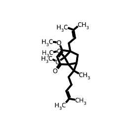 COC1=CC(=O)C23C(CC1(CC=C(C)C)C2(OC)OC)C3(C)CCC=C(C)C